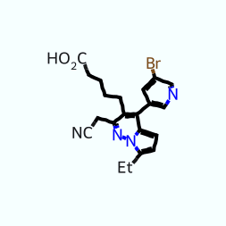 CCc1ccc2c(-c3cncc(Br)c3)c(CCCCC(=O)O)c(CC#N)nn12